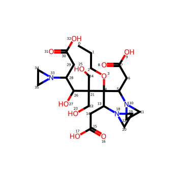 CCCOC(C(CC(=O)O)N1CC1)(C(CC(=O)O)N1CC1)C(CO)(CO)C(O)C(CC(=O)O)N1CC1